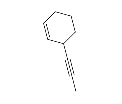 [CH2]C#CC1C=CCCC1